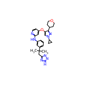 CC(C)(Cc1nn[nH]n1)c1cccc(Nc2cc(Oc3cn(C4CC4)nc3C3CCOCC3)ccn2)c1